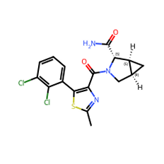 Cc1nc(C(=O)N2C[C@@H]3C[C@@H]3[C@H]2C(N)=O)c(-c2cccc(Cl)c2Cl)s1